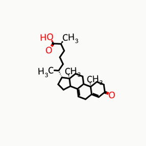 CC(CCC[C@H](C)C(=O)O)[C@H]1CCC2C3=CCC4=CC(=O)CC[C@]4(C)C3CC[C@@]21C